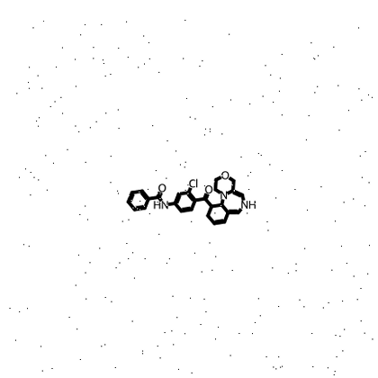 O=C(Nc1ccc(C(=O)C2CC=CC3=CNC=C4COCCN4C32)c(Cl)c1)c1ccccc1